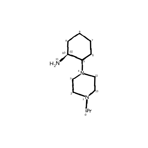 CC(C)N1CCN(C2CCCC[C@@H]2N)CC1